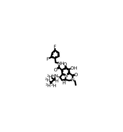 [2H]C([2H])([2H])C([2H])([2H])N[C@H]1C[C@@H]2CN(CC)C(=O)c3c(O)c(=O)c(C(=O)NCc4ccc(F)cc4F)c1n32